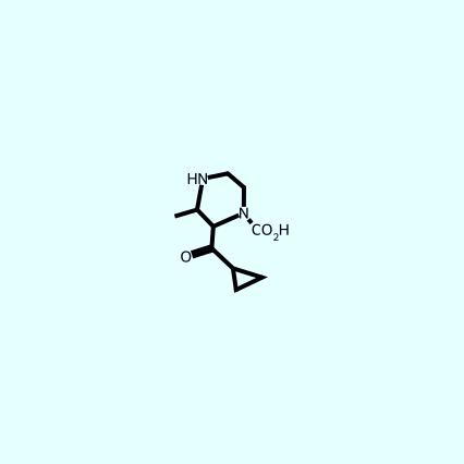 CC1NCCN(C(=O)O)C1C(=O)C1CC1